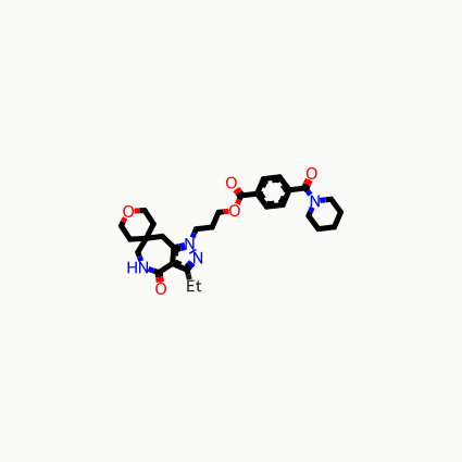 CCc1nn(CCCOC(=O)c2ccc(C(=O)N3CCCCC3)cc2)c2c1C(=O)NCC1(CCOCC1)C2